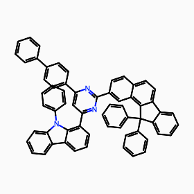 c1ccc(-c2ccc(-c3cc(-c4cccc5c6ccccc6n(-c6ccccc6)c45)nc(-c4ccc5ccc6c(c5c4)C(c4ccccc4)(c4ccccc4)c4ccccc4-6)n3)cc2)cc1